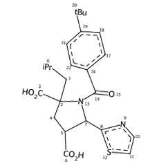 CC(C)CC1(C(=O)O)CC(C(=O)O)C(c2nccs2)N1C(=O)c1ccc(C(C)(C)C)cc1